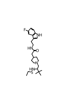 CCSNC(CN1CCC(CC(=O)NCCc2c[nH]c3ccc(F)cc23)CC1)C(C)(C)C